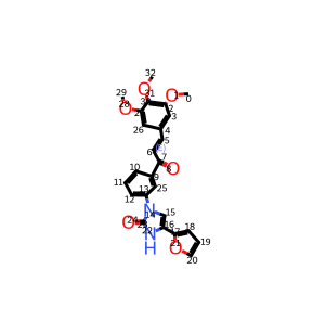 COc1cc(/C=C/C(=O)c2cccc(-n3cc(-c4ccco4)[nH]c3=O)c2)cc(OC)c1OC